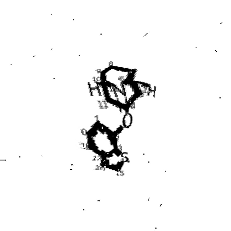 c1cc(O[C@@H]2C[C@H]3CCC[C@@H](C2)N3)c2sccc2c1